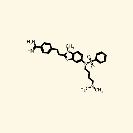 CN(C)CCCCN(c1ccc2c(c1)nc(CCc1ccc(C(=N)N)cc1)n2C)S(=O)(=O)c1ccccc1